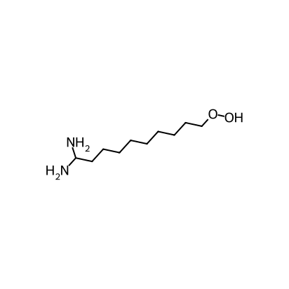 NC(N)CCCCCCCCCOO